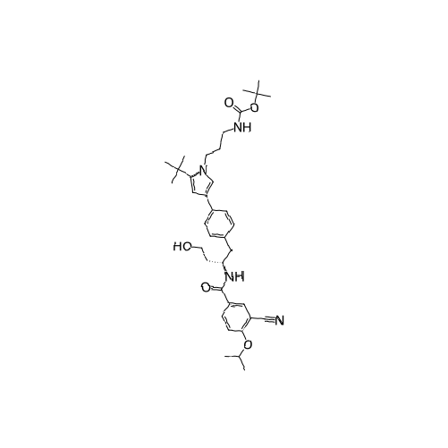 CC(C)Oc1ccc(C(=O)N[C@H](CCO)Cc2ccc(-c3cc(C(C)(C)C)n(CCCNC(=O)OC(C)(C)C)c3)cc2)cc1C#N